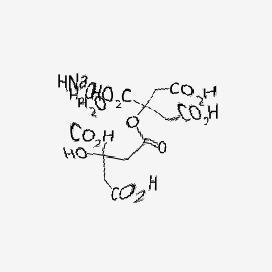 O.O.O=C(O)CC(O)(CC(=O)OC(CC(=O)O)(CC(=O)O)C(=O)O)C(=O)O.[NaH]